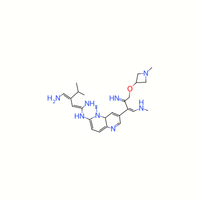 CN/C=C(\C(=N)COC1CN(C)C1)C1=CC2C(=CC=C(N/C(N)=C/C(=C\N)C(C)C)N2C)N=C1